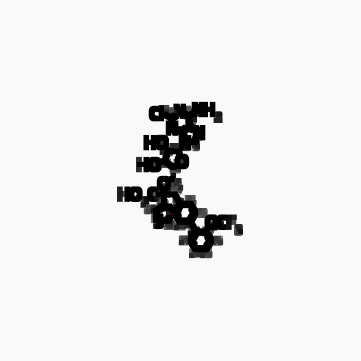 Nc1nc(Cl)nc2c1ncn2[C@@H]1O[C@H](COC(Cc2ccc(-c3ccccc3OC(F)(F)F)cc2)(C(=O)O)c2cscn2)[C@@H](O)[C@H]1O